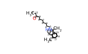 C=C(NCCCCCCCC(=O)CC)c1cccc(C)c1CC